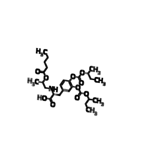 CCCCC(=O)OC(C)CN[C@@H](Cc1ccc(OC(=O)OC(C)CC)c(OC(=O)OC(C)CC)c1)C(=O)O